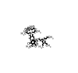 CCCC[P+](CCCC)(CCCC)CCCC.CCCC[P+](CCCC)(CCCC)CCCC.COc1c(Cl)ccc(Cl)c1C(=O)[O-].O=C([O-])CNCP(=O)(O)O